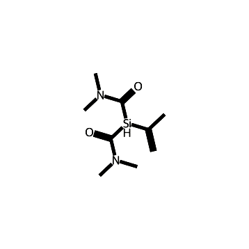 C=C(C)[SiH](C(=O)N(C)C)C(=O)N(C)C